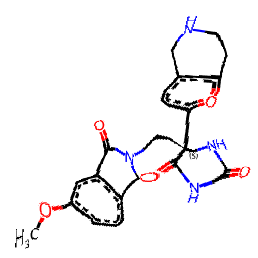 COc1ccc2c(c1)C(=O)N(C[C@@]1(c3cc4c(o3)CCNC4)NC(=O)NC1=O)C2